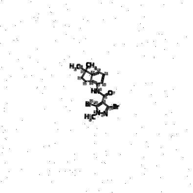 Cn1nc(Br)c(C(=O)Nc2cccc3c2CCC3(C)C)c1Br